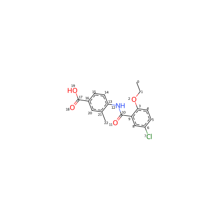 CCOc1ccc(Cl)cc1C(=O)Nc1ccc(C(=O)O)cc1C